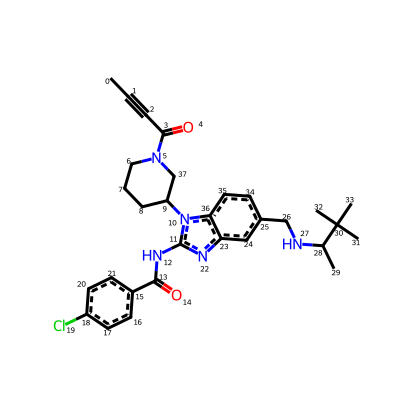 CC#CC(=O)N1CCCC(n2c(NC(=O)c3ccc(Cl)cc3)nc3cc(CNC(C)C(C)(C)C)ccc32)C1